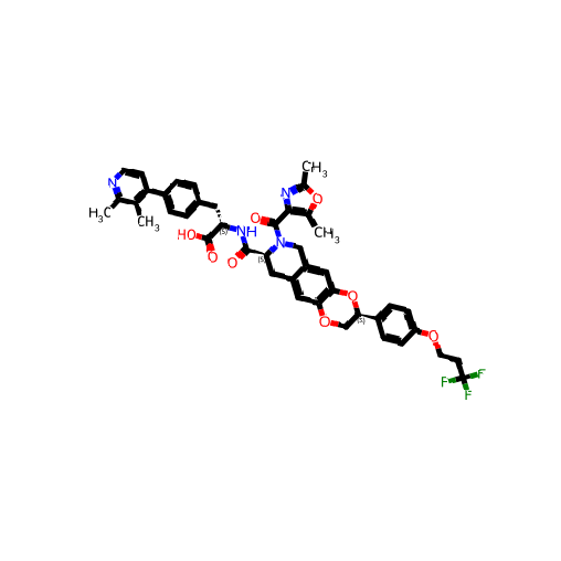 Cc1nc(C(=O)N2Cc3cc4c(cc3C[C@H]2C(=O)N[C@@H](Cc2ccc(-c3ccnc(C)c3C)cc2)C(=O)O)OC[C@H](c2ccc(OCCC(F)(F)F)cc2)O4)c(C)o1